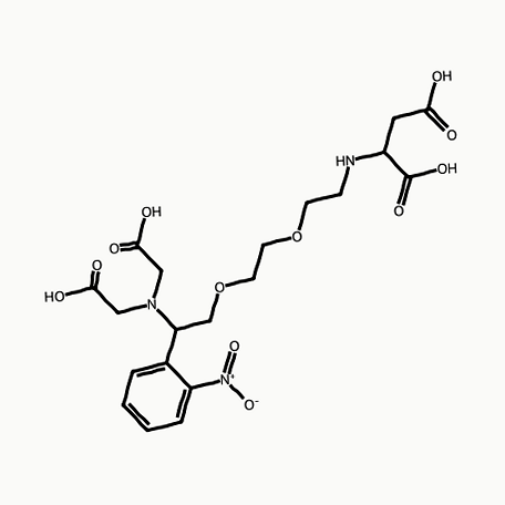 O=C(O)CC(NCCOCCOCC(c1ccccc1[N+](=O)[O-])N(CC(=O)O)CC(=O)O)C(=O)O